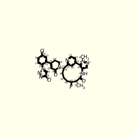 C[C@H]1C(=O)Nc2cnn(C)c2-c2ccnc(c2)[C@@H](N2CCC(c3cc(Cl)ccc3-n3cc(Cl)nn3)=CC2=O)CCCC1F